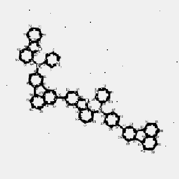 c1cncc(N(c2ccc3c(c2)-c2cc(-c4ccc5oc6c(N(c7ccc(-c8ccc9c(c8)-c8cccc%10cccc-9c8%10)cc7)c7cccnc7)cccc6c5c4)cc4cccc-3c24)c2cccc3c2oc2ccccc23)c1